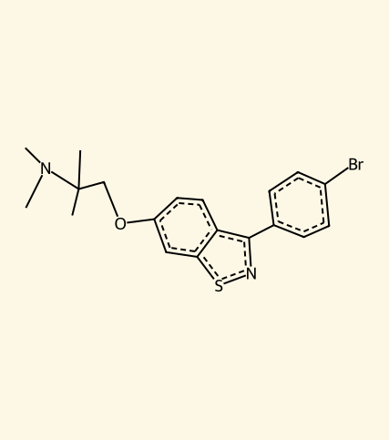 CN(C)C(C)(C)COc1ccc2c(-c3ccc(Br)cc3)nsc2c1